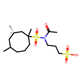 CC(=O)N(CCCS(=O)(=O)O)S(=O)(=O)C1(C)CCCC(C)C[C@H](C)C1